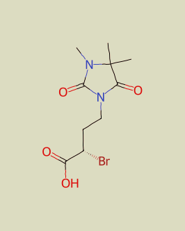 CN1C(=O)N(CC[C@H](Br)C(=O)O)C(=O)C1(C)C